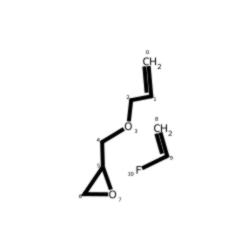 C=CCOCC1CO1.C=CF